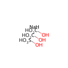 O=C(O)O.O=C(O)O.O=S(=O)(O)O.[NaH]